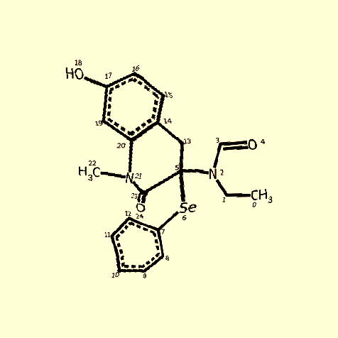 CCN(C=O)C1([Se]c2ccccc2)Cc2ccc(O)cc2N(C)C1=O